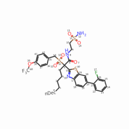 CCCCCCCCCCCCCCC(C(=O)NCCS(N)(=O)=O)(c1nc2ccc(-c3ccccc3F)cc2s1)S(=O)(=O)Cc1ccc(OC(F)(F)F)cc1